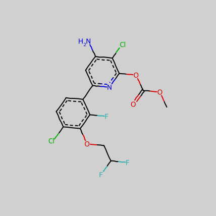 COC(=O)Oc1nc(-c2ccc(Cl)c(OCC(F)F)c2F)cc(N)c1Cl